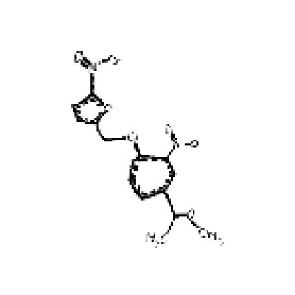 COC(C)c1ccc(OCc2ccc([N+](=O)[O-])o2)c([N+](=O)[O-])c1